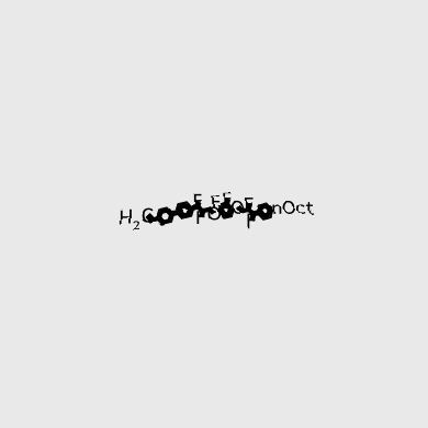 C=CC1CCC(c2ccc(C(F)C(F)COc3ccc(OCC(F)C(F)c4ccc(CCCCCCCC)cc4)c(F)c3F)cc2)CC1